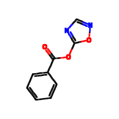 O=C(Oc1ncno1)c1ccccc1